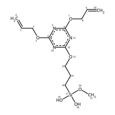 C=CCOc1nc(OCC=C)nc(OCCC[Si](O)(O)OC)n1